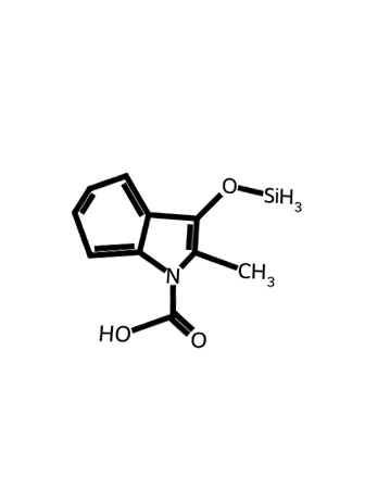 Cc1c(O[SiH3])c2ccccc2n1C(=O)O